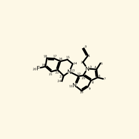 C=CCn1c(C)c(C)c2ccnc(N3CCc4ccc(F)cc4C3C)c21